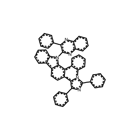 c1ccc(-c2nc3ccccc3nc2-n2c3ccccc3c3ccc4c(c5ccccc5n5c(-c6ccccc6)nc(-c6ccccc6)c45)c32)cc1